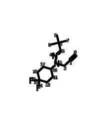 C#CCN(/N=C/C(C)(C)C)C1CCC(F)(F)CC1